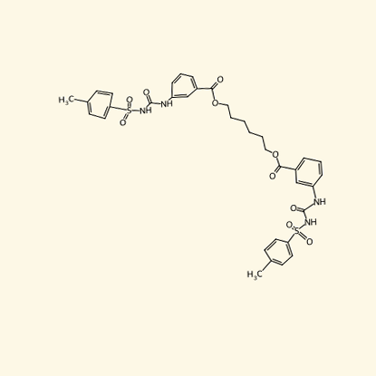 Cc1ccc(S(=O)(=O)NC(=O)Nc2cccc(C(=O)OCCCCCCOC(=O)c3cccc(NC(=O)NS(=O)(=O)c4ccc(C)cc4)c3)c2)cc1